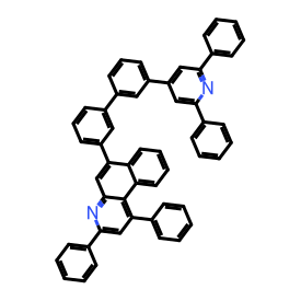 c1ccc(-c2cc(-c3cccc(-c4cccc(-c5cc6nc(-c7ccccc7)cc(-c7ccccc7)c6c6ccccc56)c4)c3)cc(-c3ccccc3)n2)cc1